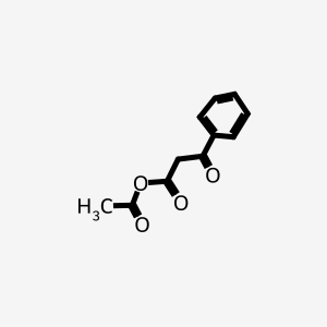 CC(=O)OC(=O)CC(=O)c1ccccc1